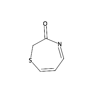 O=C1CSC=CC=N1